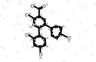 O=C(Cl)c1cc(-c2ccc(Cl)cc2)c(-c2ccc(Cl)cc2Cl)nc1Cl